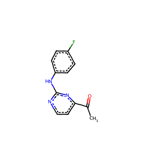 CC(=O)c1ccnc(Nc2ccc(F)cc2)n1